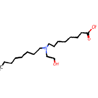 CCCCCCCCN(CCO)CCCCCCCC(=O)O